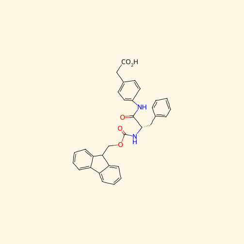 O=C(O)Cc1ccc(NC(=O)[C@H](Cc2ccccc2)NC(=O)OCC2c3ccccc3-c3ccccc32)cc1